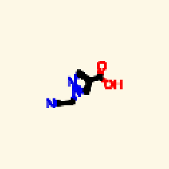 N#CCn1cc(C(=O)O)cn1